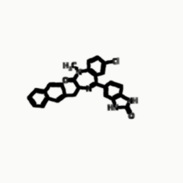 CN1C(=O)C(Cc2ccc3ccccc3c2)N=C(c2ccc3[nH]c(=O)[nH]c3c2)c2cc(Cl)ccc21